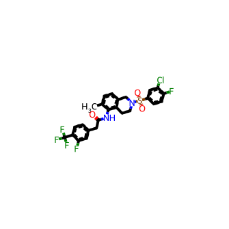 Cc1ccc2c(c1NC(=O)Cc1ccc(C(F)(F)F)c(F)c1)CCN(S(=O)(=O)c1ccc(F)c(Cl)c1)C2